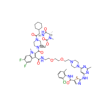 Cc1nc(Nc2ncc(C(=O)Nc3c(C)cccc3Cl)s2)cc(N2CCN(CCOCCOCCNC(=O)c3c(C(=O)N4CCN(C(=O)[C@@H](NC(=O)[C@H](C)N(C)C(=O)OC(C)(C)C)C5CCCCC5)CC4)n(C)c4cc(F)c(F)cc34)CC2)n1